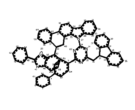 c1ccc(-c2ccc(-c3nc(CC4c5ccccc5-c5ccccc54)nc(-n4c5ccccc5c5ccc6c(c54)CC(c4cccc5nc(-c7ccccc7)oc45)c4ccccc4-6)n3)cc2)cc1